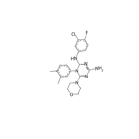 Cc1ccc(N2C(N3CCOCC3)=NC(N)=NC2Nc2ccc(F)c(Cl)c2)cc1C